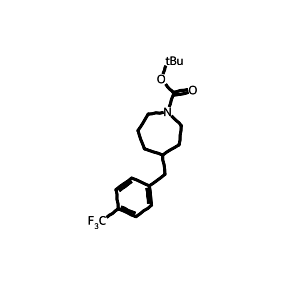 CC(C)(C)OC(=O)N1CCCC(Cc2ccc(C(F)(F)F)cc2)CC1